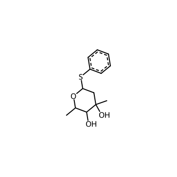 CC1OC(Sc2ccccc2)CC(C)(O)C1O